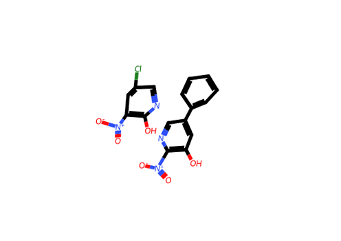 O=[N+]([O-])c1cc(Cl)cnc1O.O=[N+]([O-])c1ncc(-c2ccccc2)cc1O